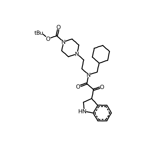 CC(C)(C)OC(=O)N1CCN(CCN(CC2CCCCC2)C(=O)C(=O)C2CNc3ccccc32)CC1